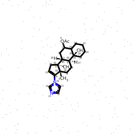 CC(=O)OC1C[C@@H]2[C@H](CC[C@]3(C)C(n4ccnc4)=CC[C@@]23C)[C@@]2(C)CCCCC12